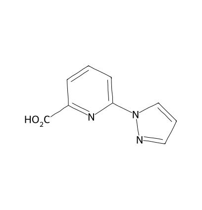 O=C(O)c1cccc(-n2cccn2)n1